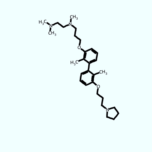 Cc1c(OCCCN(C)CCN(C)C)cccc1-c1cccc(OCCCN2CCCC2)c1C